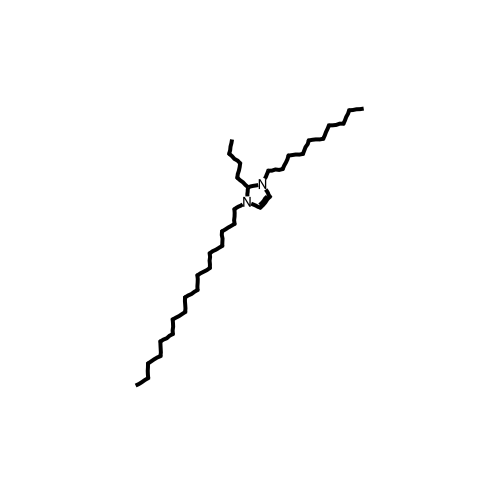 CCCCCCCCCCCCCCCCCN1C=CN(CCCCCCCCCC)C1CCCC